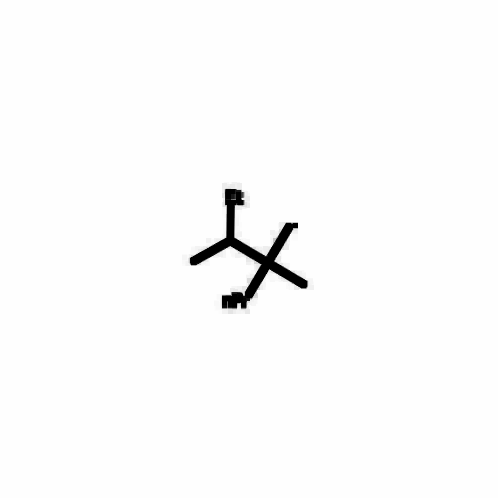 [CH2]C(C)(CCC)C(C)CC